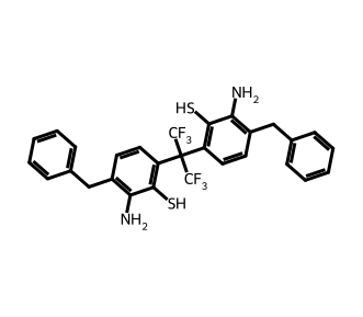 Nc1c(Cc2ccccc2)ccc(C(c2ccc(Cc3ccccc3)c(N)c2S)(C(F)(F)F)C(F)(F)F)c1S